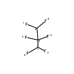 FC(F)C(F)(F)C(F)F